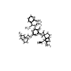 CC(c1cccnc1N)N(C)c1nc(OC[C@@]23CCCN2C[C@H](F)C3)nc(N2CC3(CCc4sc(N)c(C#N)c43)C2)c1F